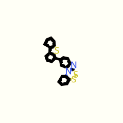 c1ccc2c(c1)SSc1nc3ccc(-c4cccc5c4sc4ccccc45)cc3n1-2